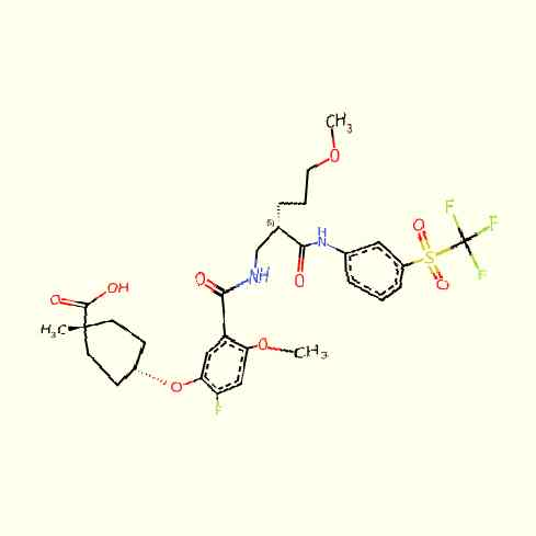 COCCC[C@@H](CNC(=O)c1cc(O[C@H]2CC[C@@](C)(C(=O)O)CC2)c(F)cc1OC)C(=O)Nc1cccc(S(=O)(=O)C(F)(F)F)c1